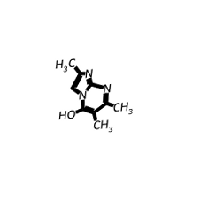 Cc1cn2c(O)c(C)c(C)nc2n1